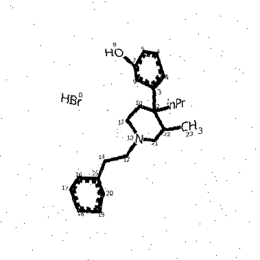 Br.CCCC1(c2cccc(O)c2)CCN(CCc2ccccc2)CC1C